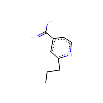 CCCc1cc(C(=N)N)ccn1